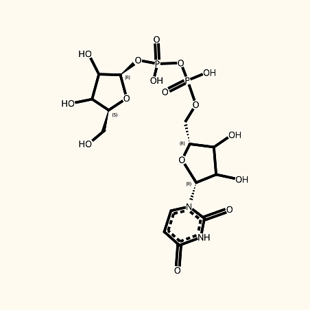 O=c1ccn([C@@H]2O[C@H](COP(=O)(O)OP(=O)(O)O[C@H]3O[C@@H](CO)C(O)C3O)C(O)C2O)c(=O)[nH]1